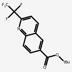 CC(C)(C)OC(=O)c1ccc2nc(C(F)(F)C(F)(F)F)ccc2c1